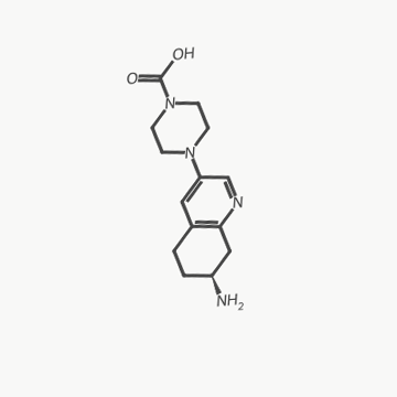 N[C@H]1CCc2cc(N3CCN(C(=O)O)CC3)cnc2C1